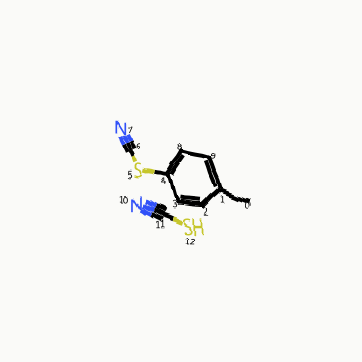 Cc1ccc(SC#N)cc1.N#CS